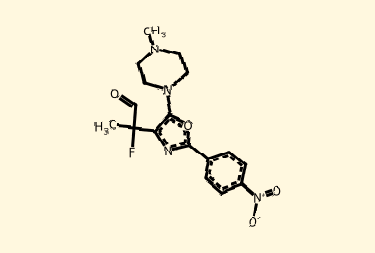 CN1CCN(c2oc(-c3ccc([N+](=O)[O-])cc3)nc2C(C)(F)C=O)CC1